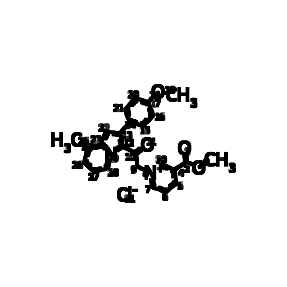 COC(=O)c1ccc[n+](CC(=O)c2c(-c3ccc(OC)cc3)cc3c(C)cccn23)c1.[Cl-]